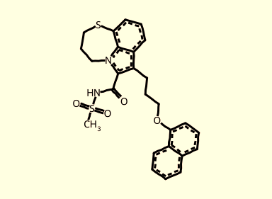 CS(=O)(=O)NC(=O)c1c(CCCOc2cccc3ccccc23)c2cccc3c2n1CCCS3